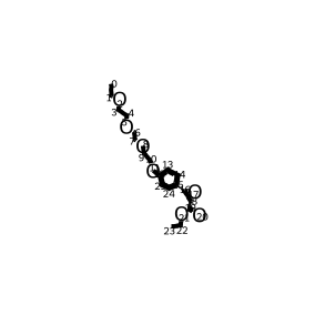 CCOCCOCCOCCOc1ccc([C@@H]2O[C@H]2C(=O)OCC)cc1